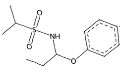 CCC(NS(=O)(=O)C(C)C)Oc1cc[c]cc1